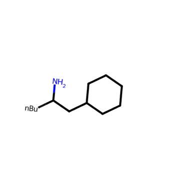 CCCCC(N)CC1CCCCC1